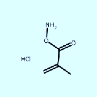 C=C(C)C(=O)ON.Cl